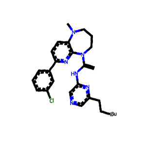 C=C(Nc1cncc(CCC(C)CC)n1)N1CCCN(C)c2ccc(-c3cccc(Cl)c3)nc21